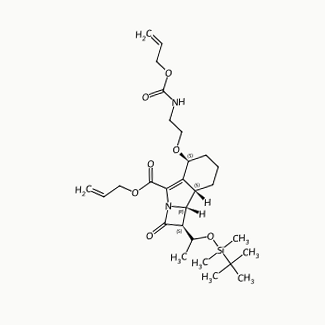 C=CCOC(=O)NCCO[C@H]1CCC[C@H]2C1=C(C(=O)OCC=C)N1C(=O)[C@H](C(C)O[Si](C)(C)C(C)(C)C)[C@@H]21